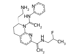 C=C(NCC(C)F)c1ccc2c(n1)N(C(=C)Nc1ccccn1)[C@@H](CCN)CC2